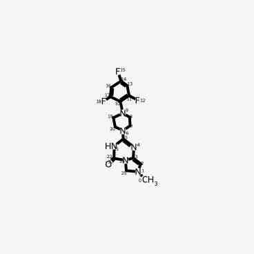 CN1C=C2N=C(N3CCN(c4c(F)cc(F)cc4F)CC3)NC(=O)N2C1